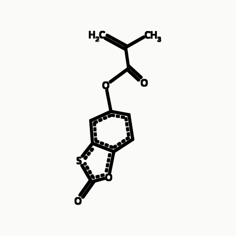 C=C(C)C(=O)Oc1ccc2oc(=O)sc2c1